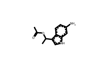 CC(=O)OC(C)c1c[nH]c2cc(N)ccc12